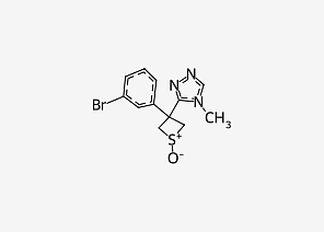 Cn1cnnc1C1(c2cccc(Br)c2)C[S+]([O-])C1